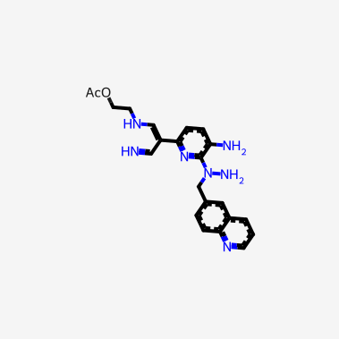 CC(=O)OCCN/C=C(\C=N)c1ccc(N)c(N(N)Cc2ccc3ncccc3c2)n1